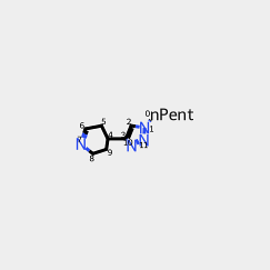 CCCCCn1cc(C2CC=NCC2)nn1